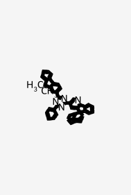 CC1(C)c2ccccc2-c2ccc(-c3nc(-c4ccccc4)nc(-c4cnc5c(c4)C4(c6ccccc6-5)C5CC6CC(C5)CC4C6)n3)cc21